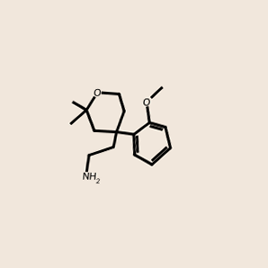 COc1ccccc1C1(CCN)CCOC(C)(C)C1